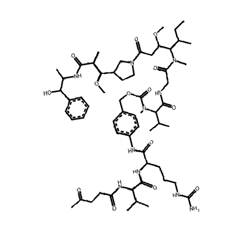 CCC(C)C(C(CC(=O)N1CCC(C(OC)C(C)C(=O)NC(C)C(O)c2ccccc2)C1)OC)N(C)C(=O)CNC(=O)C(C(C)C)N(C)C(=O)OCc1ccc(NC(=O)C(CCCNC(N)=O)NC(=O)C(NC(=O)CCC(C)=O)C(C)C)cc1